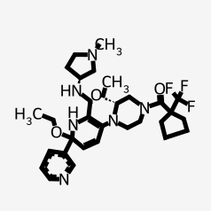 CCOC1(c2cccnc2)C=CC(N2CCN(C(=O)C3(C(F)(F)F)CCCC3)C[C@H]2CC)=C(C(=O)N[C@@H]2CCN(C)C2)N1